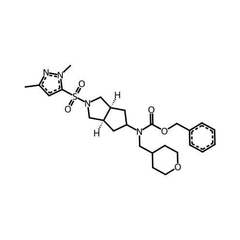 Cc1cc(S(=O)(=O)N2C[C@H]3CC(N(CC4CCOCC4)C(=O)OCc4ccccc4)C[C@H]3C2)n(C)n1